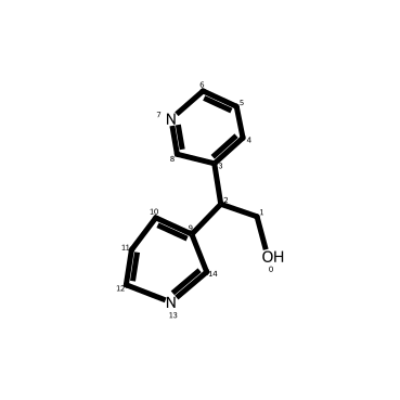 OCC(c1cccnc1)c1cccnc1